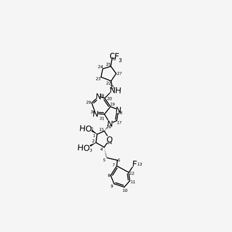 O[C@@H]1[C@H](O)[C@@H](CCc2ccccc2F)O[C@H]1n1cnc2c(NC3CCC(C(F)(F)F)C3)ncnc21